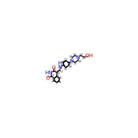 O=C1NC(=O)c2ccccc2/C1=C/Nc1ccc(N2CCN(CCO)CC2)cc1